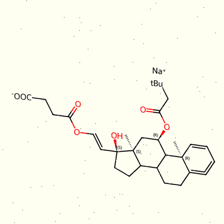 CC(C)(C)CC(=O)O[C@@H]1C[C@@]2(C)C(CC[C@]2(O)C=COC(=O)CCC(=O)[O-])C2CCC3=C=CC=C[C@]3(C)C21.[Na+]